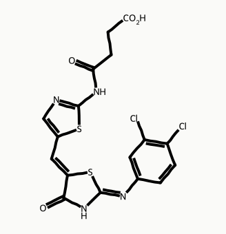 O=C(O)CCC(=O)Nc1ncc(C=C2SC(=Nc3ccc(Cl)c(Cl)c3)NC2=O)s1